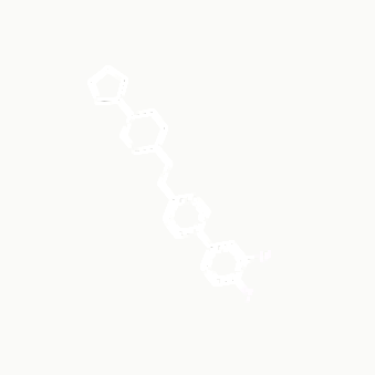 Fc1ccc(-c2ccc(CCC3CCC(C4CCCC4)CC3)cc2)cc1F